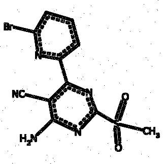 CS(=O)(=O)c1nc(N)c(C#N)c(-c2cccc(Br)n2)n1